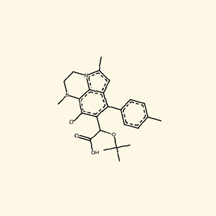 Cc1ccc(-c2c(C(OC(C)(C)C)C(=O)O)c(Cl)c3c4c2cc(C)n4CCN3C)cc1